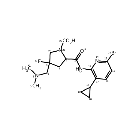 CN(C)CC1(F)CC(C(=O)Nc2nc(Br)ccc2C2CC2)N(C(=O)O)C1